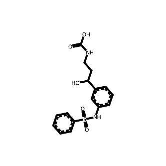 O=C(O)NCCC(O)c1cccc(NS(=O)(=O)c2ccccc2)c1